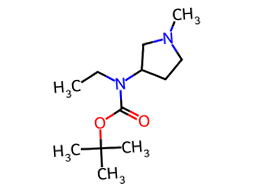 CCN(C(=O)OC(C)(C)C)C1CCN(C)C1